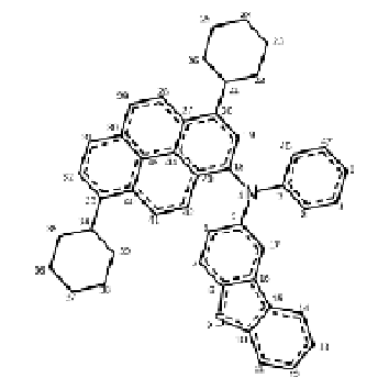 c1ccc(N(c2ccc3sc4ccccc4c3c2)c2cc(C3CCCCC3)c3ccc4ccc(C5CCCCC5)c5ccc2c3c45)cc1